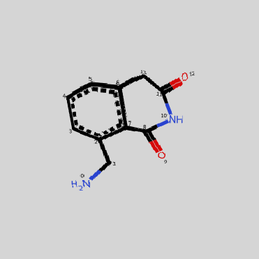 NCc1cccc2c1C(=O)NC(=O)C2